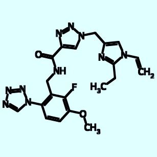 C=Cn1cc(Cn2cc(C(=O)NCc3c(-n4cnnn4)ccc(OC)c3F)nn2)nc1CC